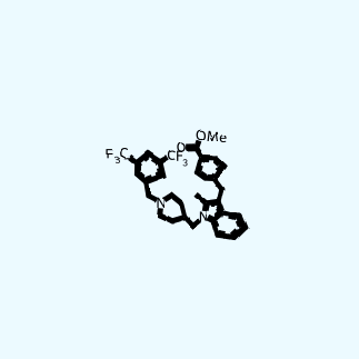 COC(=O)c1ccc(Cc2c(C)n(CC3CCN(Cc4cc(C(F)(F)F)cc(C(F)(F)F)c4)CC3)c3ccccc23)cc1